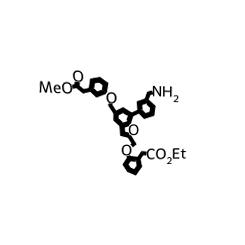 CCOC(=O)Cc1ccccc1OCc1cc2cc(COc3cccc(CC(=O)OC)c3)cc(-c3cccc(CN)c3)c2o1